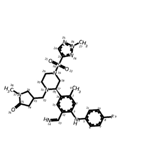 Cc1cc(Nc2ccc(F)cc2)c(C=N)cc1[C@@H]1CN(S(=O)(=O)c2cnn(C)n2)CCN1CC1CC(=O)N(C)C1